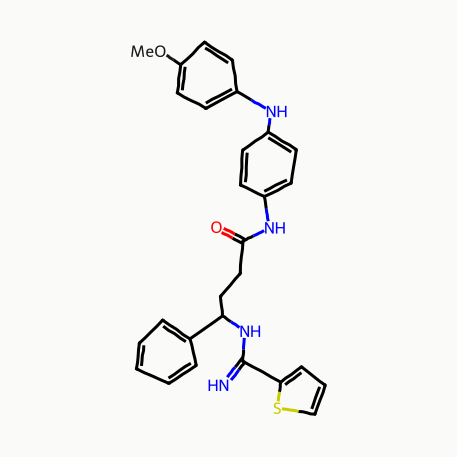 COc1ccc(Nc2ccc(NC(=O)CCC(NC(=N)c3cccs3)c3ccccc3)cc2)cc1